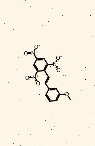 COc1cccc(C=Cc2c([N+](=O)[O-])cc([N+](=O)[O-])cc2[N+](=O)[O-])c1